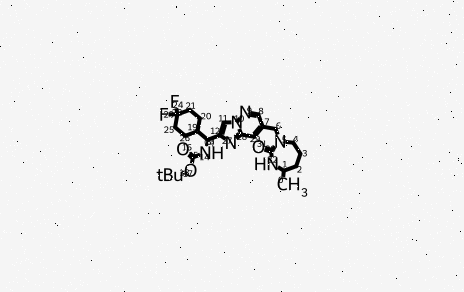 CC1CCCN(Cc2cnn3cc([C@@H](NC(=O)OC(C)(C)C)C4CCC(F)(F)CC4)nc3c2)C(=O)N1